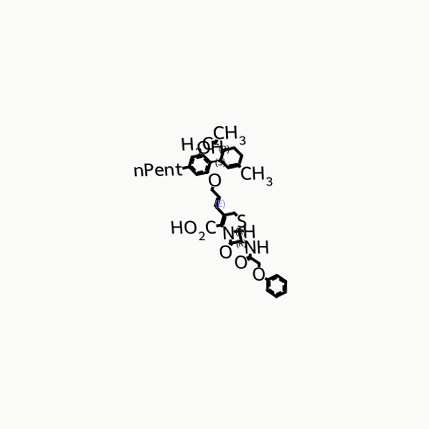 C=C(C)[C@@H]1CCC(C)=C[C@H]1c1c(O)cc(CCCCC)cc1OC/C=C/C1=C(C(=O)O)N2C(=O)[C@@H](NC(=O)COc3ccccc3)[C@H]2SC1